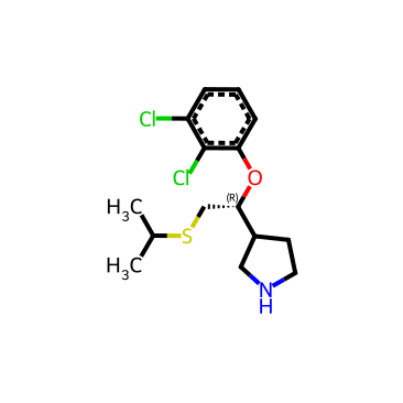 CC(C)SC[C@H](Oc1cccc(Cl)c1Cl)C1CCNC1